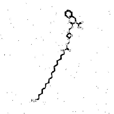 CCCCCCCCCCCCCCCCCCNC(=O)OC[C@@H]1C[C@@H](COC(=O)N(Cc2ccccn2)C(C)=O)S1